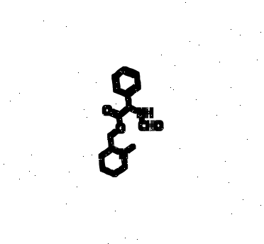 CN1CCCCC1COC(=O)C(NC=O)c1ccccc1